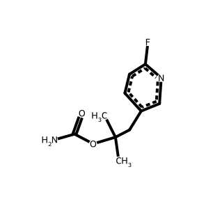 CC(C)(Cc1ccc(F)nc1)OC(N)=O